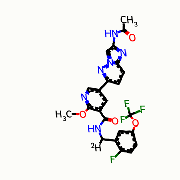 [2H]C(NC(=O)c1cc(-c2ccc3nc(NC(C)=O)cn3n2)cnc1OC)c1cc(OC(F)(F)F)ccc1F